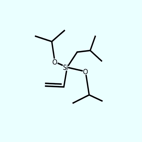 C=C[Si](CC(C)C)(OC(C)C)OC(C)C